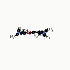 Cc1ccc(N(c2ccc(C)cc2)c2ccc3c(c2)C(C)(C)c2cc(/C=C/c4ccc(-c5ccc(/C=C/c6ccc7c(c6)C(C)(C)c6cc(N(c8ccc(C)cc8)c8ccc(C)cc8)ccc6-7)cc5)cc4)ccc2-3)cc1